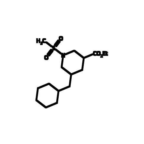 CCOC(=O)C1CC(CC2CCCCC2)CN(S(C)(=O)=O)C1